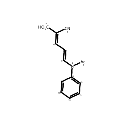 CC(=O)N(/C=C/C=C(\C#N)C(=O)O)c1ccccc1